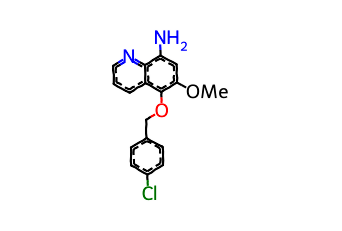 COc1cc(N)c2ncccc2c1OCc1ccc(Cl)cc1